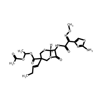 CCC=CC1(C(=O)OC(C)OC(C)=O)CS[C@@H]2C(NC(=O)C(=NOC)c3csc(N)n3)C(=O)N2C1